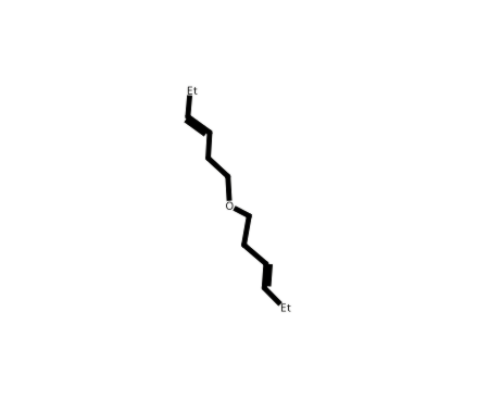 CCC=CCCOCCC=CCC